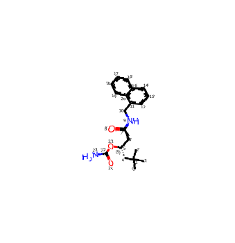 CC(C)(C)C[C@@H](CC(=O)NCc1cccc2ccccc12)OC(N)=O